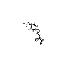 Nc1ccc(OCCC(=O)CBr)cc1